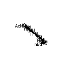 CCCCC(=O)O[C@H](COC(=O)CC)COP(=O)(O)OCCNC(=O)OCCOCC(=O)NCCCCCCNC(=O)CNC(=O)CNC(=O)[C@H](CC(C)C)NC(C)=O